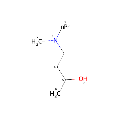 CCCN(C)CCC(C)O